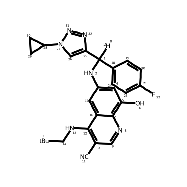 [2H]C(Nc1cc(O)c2ncc(C#N)c(NCC(C)(C)C)c2c1)(c1ccc(F)cc1)c1cn(C2CC2)nn1